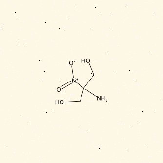 NC(CO)(CO)[N+](=O)[O-]